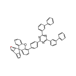 c1ccc(-c2cccc(-c3nc(-c4ccc(-c5cccc6c5Oc5ccccc5C65c6ccccc6-c6ccccc65)cc4)nc(-c4cccc(-c5ccccc5)c4)n3)c2)cc1